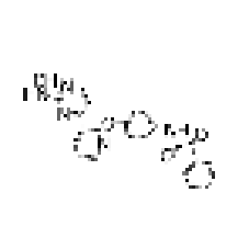 CNc1nccc(-c2cccnc2Oc2ccc(NC(=O)C(=O)c3ccccc3)cc2)n1